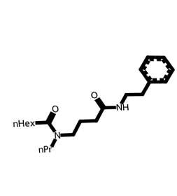 CCCCCCC(=O)N(CCC)CCCC(=O)NCCc1ccccc1